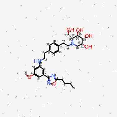 CCCCc1nc(-c2cc(NCCc3ccc(CCN4C[C@H](O)[C@@H](O)[C@H](O)[C@H]4CO)cc3)cc(OC)c2)no1